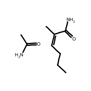 CC(N)=O.CCCC=C(C)C(N)=O